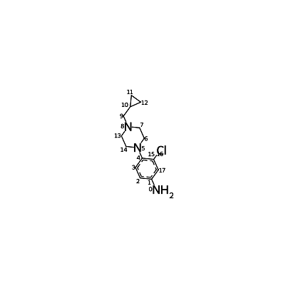 Nc1ccc(N2CCN(CC3CC3)CC2)c(Cl)c1